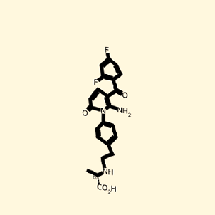 C[C@H](NCCc1ccc(-n2c(N)c(C(=O)c3ccc(F)cc3F)ccc2=O)cc1)C(=O)O